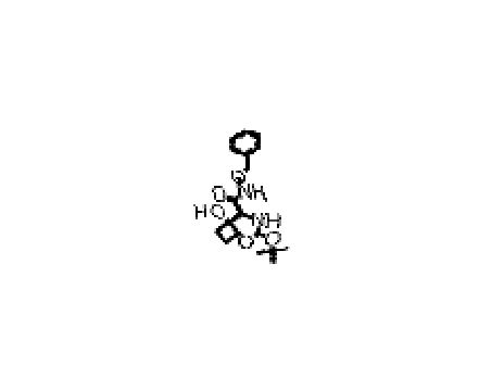 CC(C)(C)OC(=O)NC(C(=O)NOCc1ccccc1)C1(O)CCC1